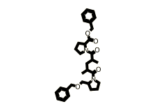 CC(CC(C)C(=O)N1CCCC1C(=O)OCc1ccccc1)C(=O)N1CCCC1COCc1ccccc1